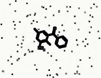 Cc1cc(C(=O)c2ccccc2)c(C)c([N+](=O)[O-])c1